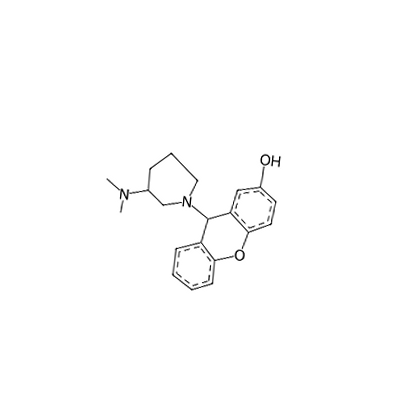 CN(C)C1CCCN(C2c3ccccc3Oc3ccc(O)cc32)C1